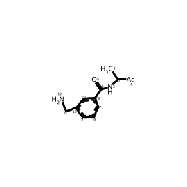 CC(=O)C(C)NC(=O)c1cccc(CN)c1